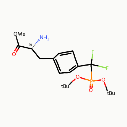 COC(=O)[C@H](N)Cc1ccc(C(F)(F)P(=O)(OC(C)(C)C)OC(C)(C)C)cc1